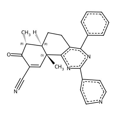 C[C@H]1C(=O)C(C#N)=C[C@@]2(C)c3nc(-c4ccncc4)nc(-c4ccccc4)c3CC[C@H]12